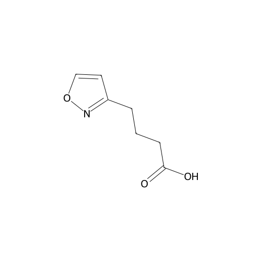 O=C(O)CCCc1ccon1